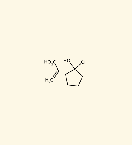 C=CC(=O)O.OC1(O)CCCC1